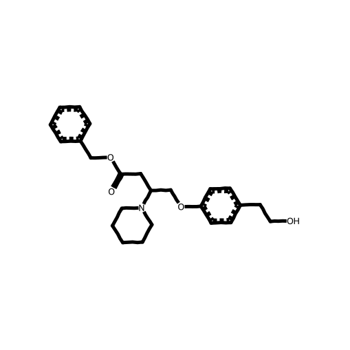 O=C(CC(COc1ccc(CCO)cc1)N1CCCCC1)OCc1ccccc1